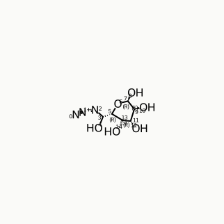 [N-]=[N+]=NC(O)[C@@H]1O[C@@H](O)[C@@H](O)[C@H](O)[C@@H]1O